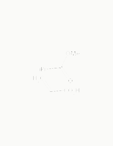 C=CC(=O)O.COC(=O)C(C)C